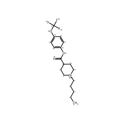 CCCCC[SiH]1CCC(C(=O)Oc2ccc(OC(F)(F)F)cc2)CC1